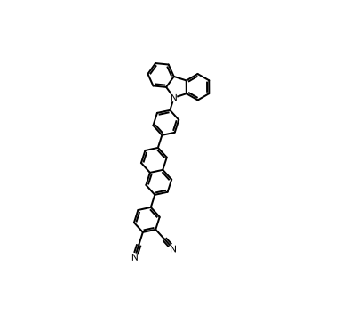 N#Cc1ccc(-c2ccc3cc(-c4ccc(-n5c6ccccc6c6ccccc65)cc4)ccc3c2)cc1C#N